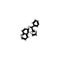 c1ccc(C(Oc2ccc3ncccc3c2)c2ncco2)cc1